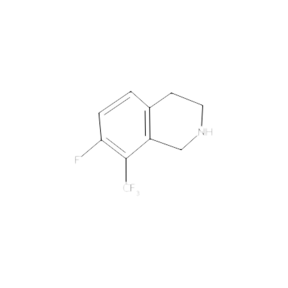 Fc1ccc2c(c1C(F)(F)F)CNCC2